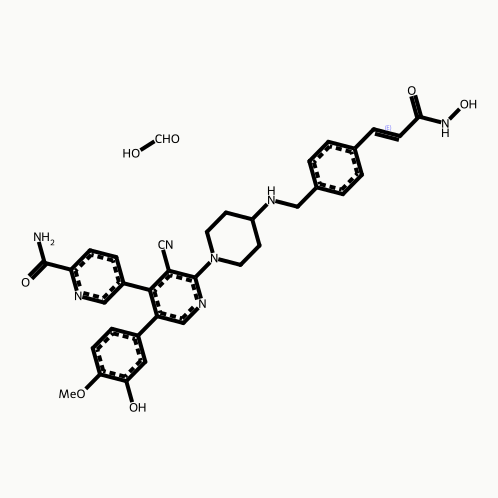 COc1ccc(-c2cnc(N3CCC(NCc4ccc(/C=C/C(=O)NO)cc4)CC3)c(C#N)c2-c2ccc(C(N)=O)nc2)cc1O.O=CO